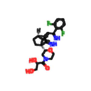 CC1(C)[C@H]2CCC1([C@H]1CN(C(=O)C(O)CO)CCO1)C(=N)/C2=C\C(=N)c1c(F)cccc1F